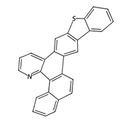 c1ccc2c(c1)ccc1c3cc4c(cc3c3cccnc3c21)sc1ccccc14